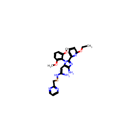 CCOc1cccc(-c2nc(N)c(/C=C(\N)NSCc3ncccn3)n2-c2c(OC)cccc2OC)n1